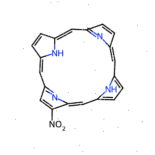 O=[N+]([O-])C1=Cc2cc3ccc(cc4nc(cc5ccc(cc1n2)[nH]5)C=C4)[nH]3